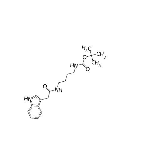 CC(C)(C)OC(=O)NCCCCNC(=O)Cc1c[nH]c2ccccc12